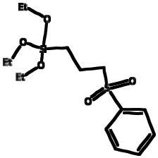 CCO[Si](CCCS(=O)(=O)c1ccccc1)(OCC)OCC